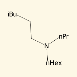 CCCCCCN(CCC)CCC(C)CC